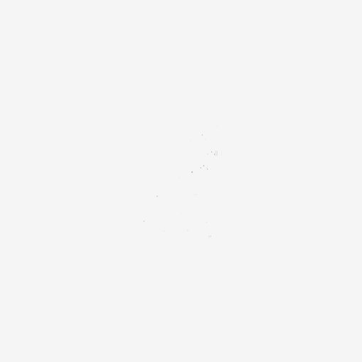 CCC1SC(=O)NN=C1c1ccc(OC)c(OCF)c1